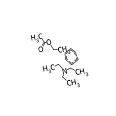 CCN(CC)CC.CCOC(C)=O.c1ccccc1